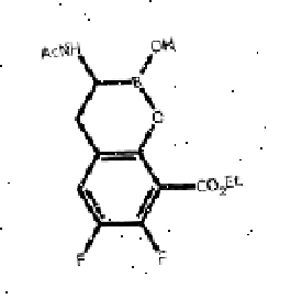 CCOC(=O)c1c(F)c(F)cc2c1OB(O)C(NC(C)=O)C2